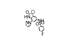 O=C1Nc2c(-n3cccn3)cc(NS(=O)(=O)c3ccc(F)cc3)cc2C12CCC2